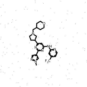 Cn1cc(-c2nc(Nc3cc(C(F)(F)F)ccn3)cc(C3CCN(CC4CCOCC4)C3)n2)cn1